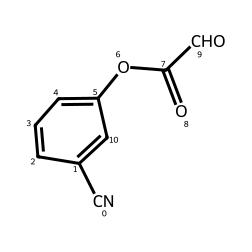 N#Cc1cccc(OC(=O)C=O)c1